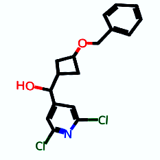 OC(c1cc(Cl)nc(Cl)c1)C1CC(OCc2ccccc2)C1